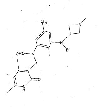 CCN(c1cc(C(F)(F)F)cc(N(C=O)Cc2c(C)cc(C)[nH]c2=O)c1C)C1CN(C)C1